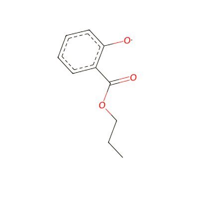 CCCOC(=O)c1ccccc1[O]